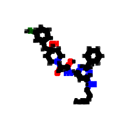 CC(=O)NCCNc1cc(NC(=O)C(=O)N2CCC(O)(Cc3cccc(F)c3)CC2)nc(-c2ccccc2)n1